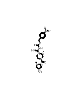 C[C@@H]1CN(C(=O)[C@@H]2C[C@H](S)CN2C)CCN1C(=N)NC(=O)OCc1ccc([N+](=O)[O-])cc1